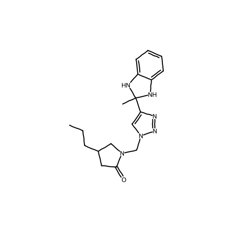 CCCC1CC(=O)N(Cn2cc(C3(C)Nc4ccccc4N3)nn2)C1